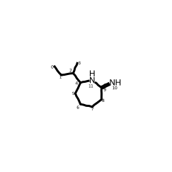 CCC(C)C1CCCCC(=N)N1